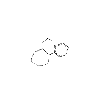 CCC.c1ccc(C2CCCCC2)cc1